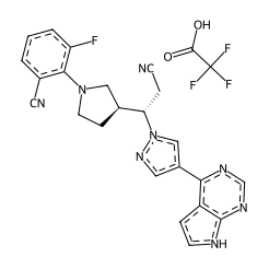 N#CC[C@@H]([C@H]1CCN(c2c(F)cccc2C#N)C1)n1cc(-c2ncnc3[nH]ccc23)cn1.O=C(O)C(F)(F)F